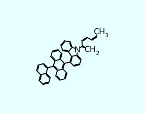 C=C(/C=C\C=C/C)n1c2ccccc2c2c(-c3c4ccccc4c(-c4cccc5ccccc45)c4ccccc34)cccc21